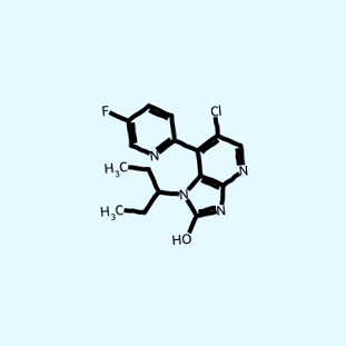 CCC(CC)n1c(O)nc2ncc(Cl)c(-c3ccc(F)cn3)c21